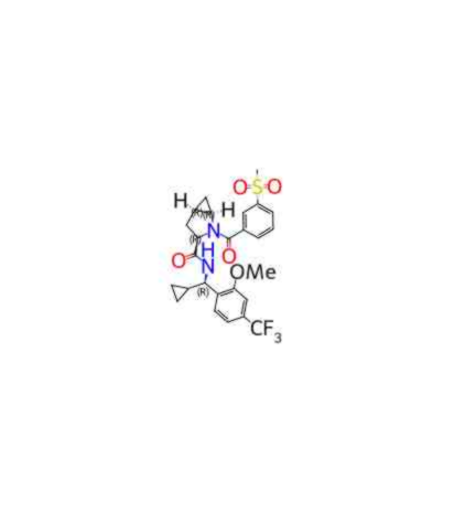 COc1cc(C(F)(F)F)ccc1[C@H](NC(=O)[C@H]1C[C@H]2C[C@H]2N1C(=O)c1cccc(S(C)(=O)=O)c1)C1CC1